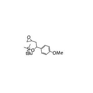 COc1ccc(C(CC2CO2)O[Si](C)(C)C(C)(C)C)cc1